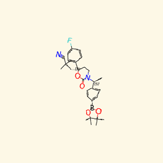 C[C@@H](c1ccc(B2OC(C)(C)C(C)(C)O2)cc1)N1CC[C@](CC(C)(C)C#N)(c2ccc(F)cc2)OC1=O